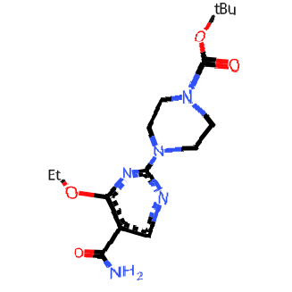 CCOc1nc(N2CCN(C(=O)OC(C)(C)C)CC2)ncc1C(N)=O